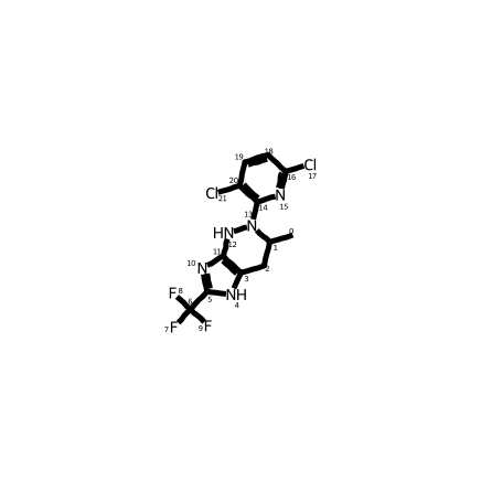 CC1Cc2[nH]c(C(F)(F)F)nc2NN1c1nc(Cl)ccc1Cl